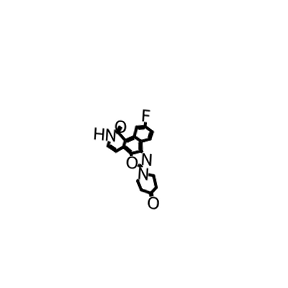 O=C1CCN(c2nc3c4ccc(F)cc4c4c(=O)[nH]ccc4c3o2)CC1